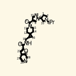 CC(C)N1CCC(n2cc(C(=O)N3CCC4(CC3)CC4CNC(=O)c3cc4ccncc4o3)cn2)C1